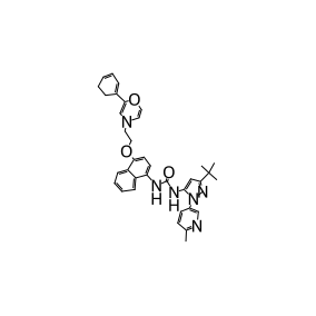 Cc1ccc(-n2nc(C(C)(C)C)cc2NC(=O)Nc2ccc(OCCN3C=COC(C4=CC=CCC4)=C3)c3ccccc23)cn1